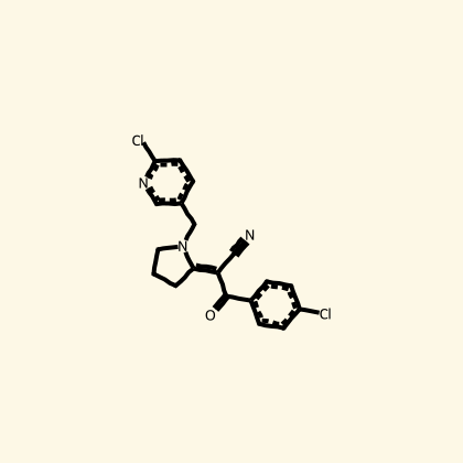 N#CC(C(=O)c1ccc(Cl)cc1)=C1CCCN1Cc1ccc(Cl)nc1